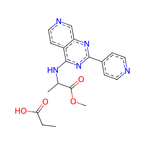 CCC(=O)O.COC(=O)C(C)Nc1nc(-c2ccncc2)nc2cnccc12